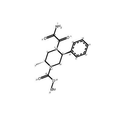 C[C@@H]1CN(C(=O)C(N)=O)[C@@H](c2ccccc2)CN1C(=O)OC(C)(C)C